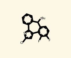 CC(C)(C)C1c2ccccc2-c2sc(Cl)cc2-c2c1ccc(F)c2F